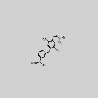 CCN(C)/C=N\c1cc(C)c(Oc2cccc(C(OC)C(Cl)(Cl)Cl)c2)cc1C